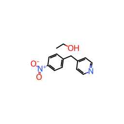 CCO.O=[N+]([O-])c1ccc(Cc2ccncc2)cc1